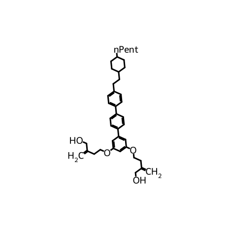 C=C(CO)CCOc1cc(OCCC(=C)CO)cc(-c2ccc(-c3ccc(CCC4CCC(CCCCC)CC4)cc3)cc2)c1